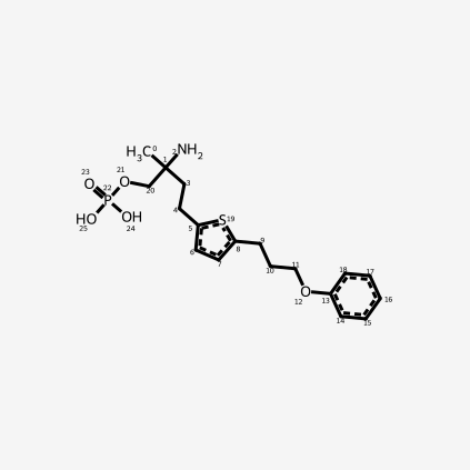 CC(N)(CCc1ccc(CCCOc2ccccc2)s1)COP(=O)(O)O